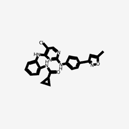 Cc1cc(-c2ccc(Nc3ncc(Cl)c(Nc4ccccc4NC(=O)C4CC4)n3)cc2)no1